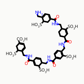 NCC1=CC=C(C(=O)NCC2CCC(C(=O)NCc3ccc(C(=O)NCC4C=CC(C(=O)NCC5=CC=C(C(=O)O)CC5S(=O)(=O)O)=CC4S(=O)(=O)O)cc3S(=O)(=O)O)C=C2S(=O)(=O)O)CC1S(=O)(=O)O